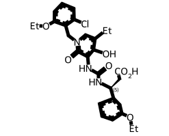 CCOc1cccc([C@H](CC(=O)O)NC(=O)Nc2c(O)c(CC)cn(Cc3c(Cl)cccc3OCC)c2=O)c1